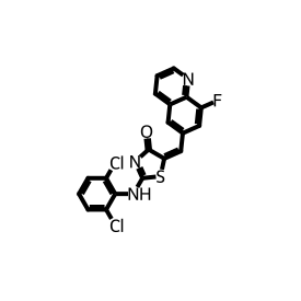 O=C1N=C(Nc2c(Cl)cccc2Cl)SC1=Cc1cc(F)c2ncccc2c1